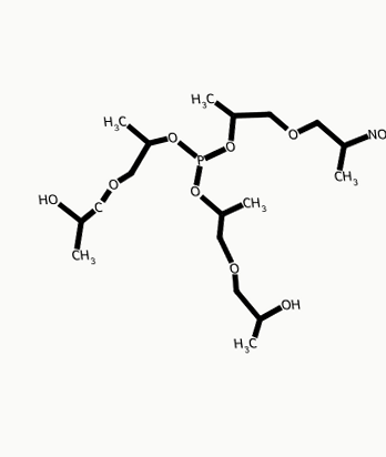 CC(O)COCC(C)OP(OC(C)COCC(C)O)OC(C)COCC(C)N=O